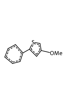 COc1csc(-c2ccccc2)c1